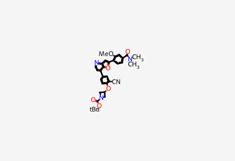 COc1cc(C(=O)N(C)C)ccc1-c1cc2nccc(-c3ccc(OC4CN(C(=O)OC(C)(C)C)C4)c(C#N)c3)c2o1